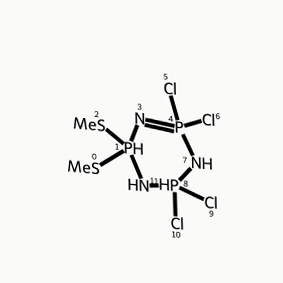 CS[PH]1(SC)N=P(Cl)(Cl)N[PH](Cl)(Cl)N1